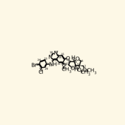 COC[C@]1(OC)CO[C@@H]2[C@H]1OC[C@H]2Oc1cc2ncnc(Nc3ccc(Br)c(Cl)c3)c2cc1OC